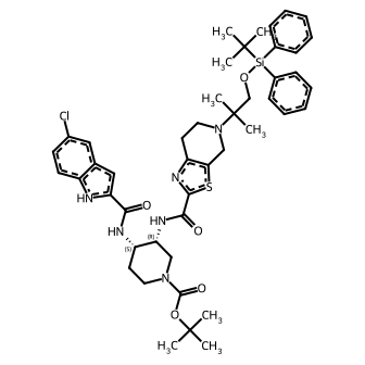 CC(C)(C)OC(=O)N1CC[C@H](NC(=O)c2cc3cc(Cl)ccc3[nH]2)[C@H](NC(=O)c2nc3c(s2)CN(C(C)(C)CO[Si](c2ccccc2)(c2ccccc2)C(C)(C)C)CC3)C1